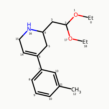 CCOC(CC1CC(c2cccc(C)c2)=CCN1)OCC